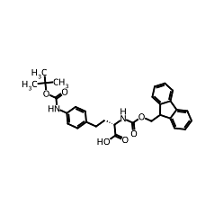 CC(C)(C)OC(=O)Nc1ccc(CC[C@H](NC(=O)OCC2c3ccccc3-c3ccccc32)C(=O)O)cc1